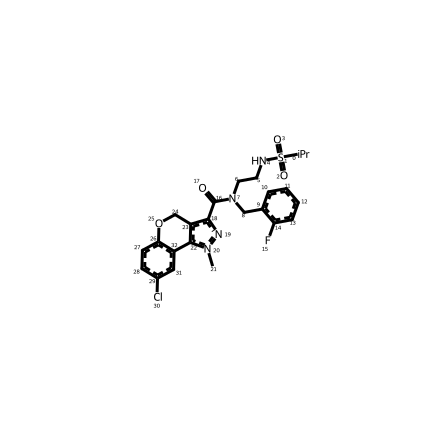 CC(C)S(=O)(=O)NCCN(Cc1ccccc1F)C(=O)c1nn(C)c2c1COc1ccc(Cl)cc1-2